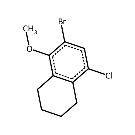 COc1c(Br)cc(Cl)c2c1CCCC2